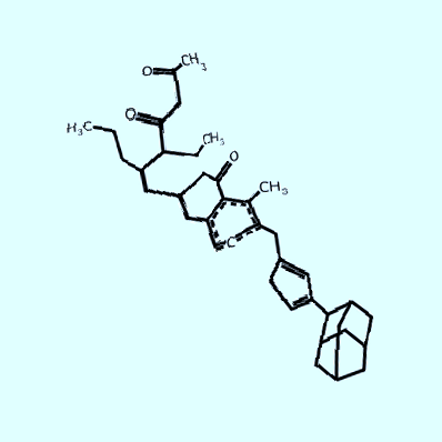 CCCC(CC1CC(=O)c2c(ccc(CC3=CC(C4C5CC6CC(C5)CC4C6)=CC3)c2C)C1)C(CC)C(=O)CC(C)=O